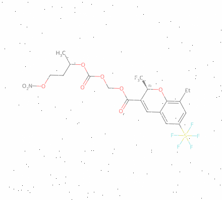 CCc1cc(S(F)(F)(F)(F)F)cc2c1O[C@H](C(F)(F)F)C(C(=O)OCOC(=O)OC(C)CCO[N+](=O)[O-])=C2